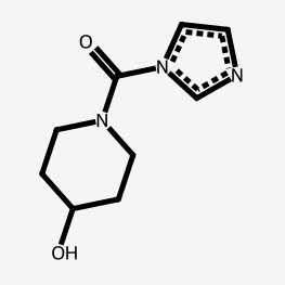 O=C(N1CCC(O)CC1)n1ccnc1